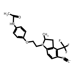 [C-]#[N+]c1ccc2c(c1C(F)(F)F)CC(C)N2CCOc1ccc(NC(C)=O)cc1